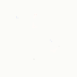 CC1(C)CN(c2cccc(OC(=O)C3CNC3)c2)c2ccc(C(C)(C)C)cc2O1